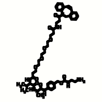 CC(C)C(NC(=O)CCOCCOCCOCCOCCC(=O)NCCC(=O)N1Cc2ccccc2C#Cc2ccccc21)C(=O)N[C@@H](C)C(=O)Nc1ccc(COC(=O)NCCN)cc1